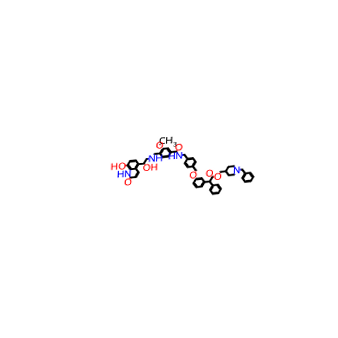 COc1cc(C(=O)NCc2ccc(COc3cccc(C(C(=O)OCC4CCN(Cc5ccccc5)CC4)c4ccccc4)c3)cc2)ccc1CNC[C@H](O)c1ccc(O)c2[nH]c(=O)ccc12